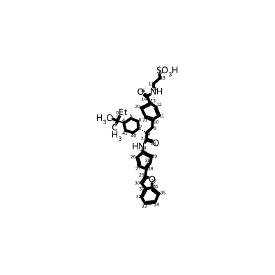 CCC(C)(C)[C@H]1CC[C@H](C(Cc2ccc(C(=O)NCCS(=O)(=O)O)cc2)C(=O)Nc2ccc(-c3cc4ccccc4o3)cc2)CC1